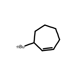 CCC[CH]C1C=CCCCC1